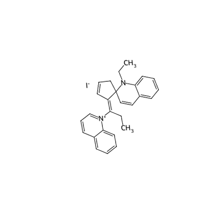 CCC(=C1C=CCC12C=Cc1ccccc1N2CC)[n+]1cccc2ccccc21.[I-]